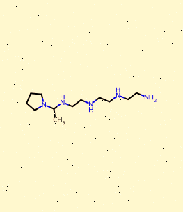 CC(NCCNCCNCCN)N1CCCC1